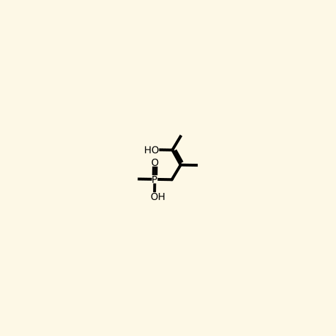 C/C(O)=C(\C)CP(C)(=O)O